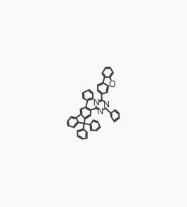 c1ccc(-c2nc(-c3ccc4c(c3)oc3ccccc34)nc(-c3cc4c(cc3-c3ccccc3)-c3ccccc3C4(c3ccccc3)c3ccccc3)n2)cc1